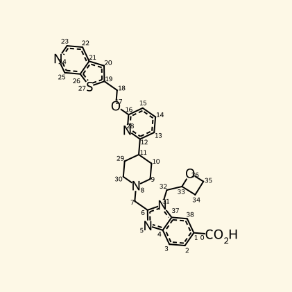 O=C(O)c1ccc2nc(CN3CCC(c4cccc(OCc5cc6ccncc6s5)n4)CC3)n(CC3CCO3)c2c1